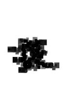 CC(C)C[C@H](NC(=O)[C@@H](NC(=O)[C@@H](NC(=O)[C@H](Cc1ccc(O)cc1)NC(=O)[C@@H](N)CCC(=O)O)C(C)C)[C@@H](C)O)C(=O)N[C@@H](CCCCN)C(=O)O